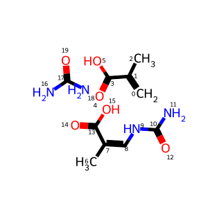 C=C(C)C(=O)O.CC(=CNC(N)=O)C(=O)O.NC(N)=O